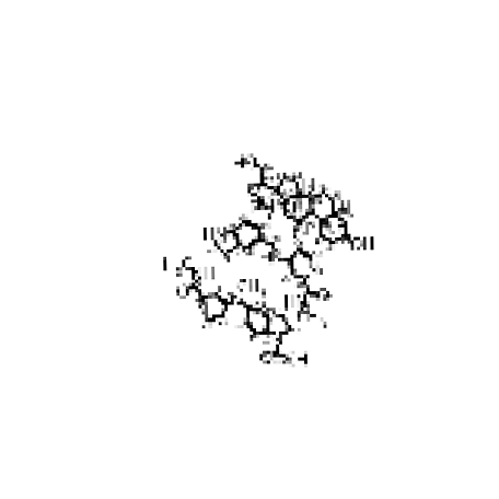 CNC(=O)c1cc(N(C)c2ccc3c(c2)CCN3C(C)=O)ccn1.CNC(=O)c1cc(NCc2ccc3c(c2)CCN3)ccn1.C[C@]12CC[C@@H](O)C[C@H]1CC[C@@H]1[C@@H]2C(=O)C[C@@]2(C)[C@H]1CC[C@]2(O)C(=O)CO